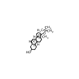 C[C@]12CC[C@@H]3[C@@H](CCC4CC(O)CC[C@@]43CO)[C@@H]1CCC2O[Si](C)(C)C